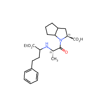 CCOC(=O)C(CCc1ccccc1)N[C@@H](C)C(=O)N1C2CCCC2C[C@H]1C(=O)O